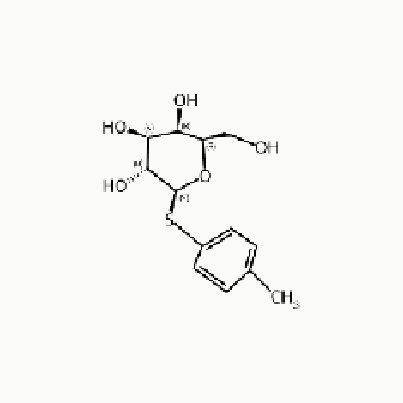 Cc1ccc(S[C@@H]2O[C@H](CO)[C@H](O)[C@H](O)[C@H]2O)cc1